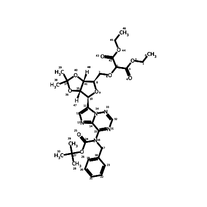 CCOC(=O)C(OC[C@H]1O[C@@H](c2cnc3c(N(Cc4ccccc4)C(=O)OC(C)(C)C)ncnn23)[C@@H]2OC(C)(C)O[C@@H]21)C(=O)OCC